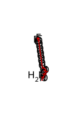 CCCN(CCC)C(=O)C1=Cc2ccc(-c3cccc(S(=O)(=O)N4CC5(CN(CCOCCOCCOCCOCCOCCOCCOCCOCCOCCOCCC(=O)Oc6c(F)c(F)cc(F)c6F)C5)C4)c3)cc2N=C(N)C1